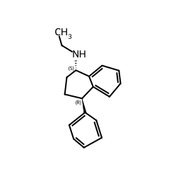 CCN[C@H]1CC[C@H](c2ccccc2)c2ccccc21